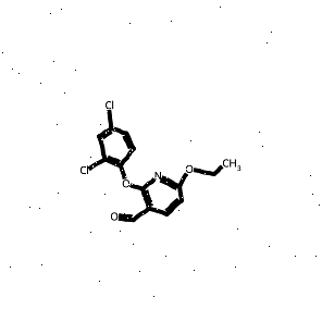 CCOc1ccc(C=O)c(Oc2ccc(Cl)cc2Cl)n1